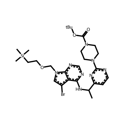 CC(Nc1ncnc2c1c(Br)cn2COCC[Si](C)(C)C)c1ccnc(N2CCN(C(=O)OC(C)(C)C)CC2)n1